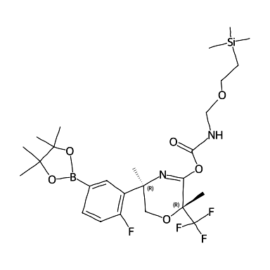 CC1(C)OB(c2ccc(F)c([C@]3(C)CO[C@@](C)(C(F)(F)F)C(OC(=O)NCOCC[Si](C)(C)C)=N3)c2)OC1(C)C